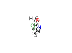 COCCC(Cl)c1nccc(C2CC2)c1F